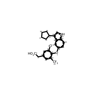 O=C(O)Cc1cc(Cl)c(Oc2ccc3[nH]cc(C4CCCC4)c3c2)c(C(F)(F)F)c1